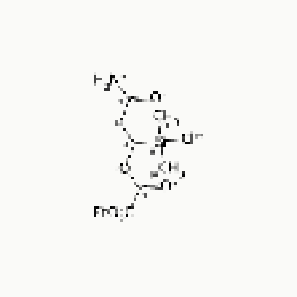 CCOC(=O)C(=O)OC(CC(N)=O)[Si](C)(C)Cl